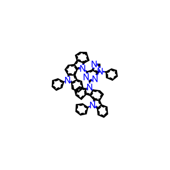 c1ccc(-n2cnc3c(-n4c5ccccc5c5ccc6c(c7ccccc7n6-c6ccccc6)c54)nc(-n4c5ccccc5c5c4ccc4c6ccccc6n(-c6ccccc6)c45)nc32)cc1